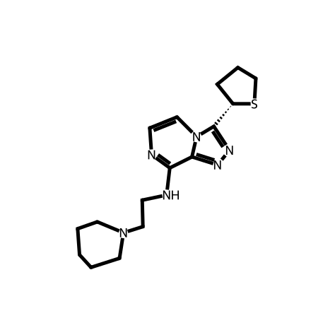 c1cn2c([C@@H]3CCCS3)nnc2c(NCCN2CCCCC2)n1